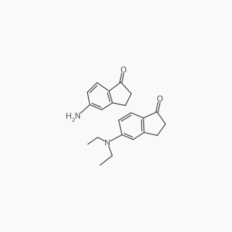 CCN(CC)c1ccc2c(c1)CCC2=O.Nc1ccc2c(c1)CCC2=O